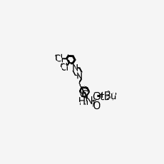 CC(C)(C)OC(=O)NC12CCC(CCN3CCN(c4cccc(Cl)c4Cl)CC3)(CC1)CC2